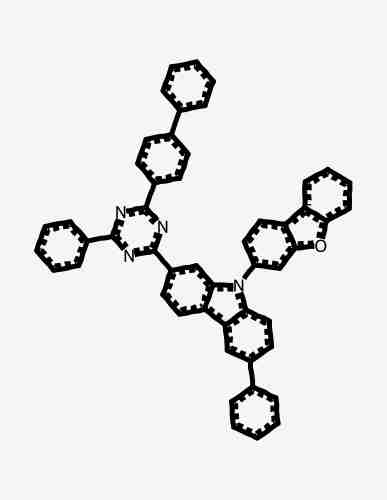 c1ccc(-c2ccc(-c3nc(-c4ccccc4)nc(-c4ccc5c6cc(-c7ccccc7)ccc6n(-c6ccc7c(c6)oc6ccccc67)c5c4)n3)cc2)cc1